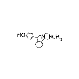 CN1CCN2CC(c3ccc(O)cc3)c3ccccc3C2C1